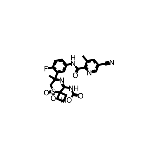 Cc1cc(C#N)cnc1C(=O)Nc1ccc(F)c(C2(C)CS(=O)(=O)C3(CCC3)C(NC(=O)O)=N2)c1